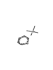 C[N+](C)(C)C.b1ccccc1